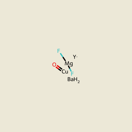 [BaH2].[F][Mg][F].[O]=[Cu].[Y]